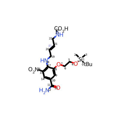 CC(C)(C)[Si](C)(C)OCCOc1cc(C(N)=O)cc([N+](=O)[O-])c1NC/C=C/CNC(=O)O